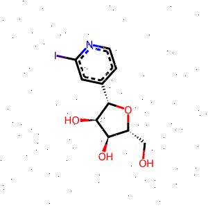 OC[C@H]1O[C@@H](c2ccnc(I)c2)[C@H](O)[C@@H]1O